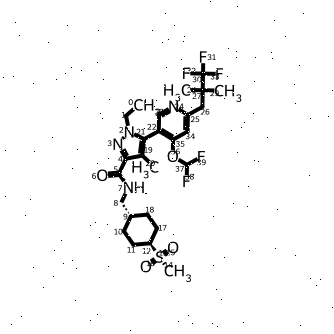 CCn1nc(C(=O)NC[C@H]2CC[C@H](S(C)(=O)=O)CC2)c(C)c1-c1cnc(CC(C)(C)C(F)(F)F)cc1OC(F)F